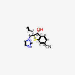 C=CC[C@@]1(Cn2ccnc2)Sc2cc(C#N)ccc2[C@@H]1O